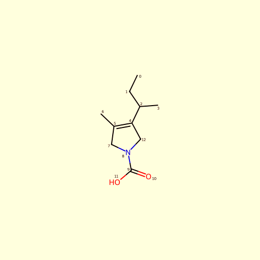 CCC(C)C1=C(C)CN(C(=O)O)C1